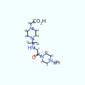 CC(C)N1CCN(C(=O)CNC(C)(C)N2CCN(CC(=O)O)CC2)CC1